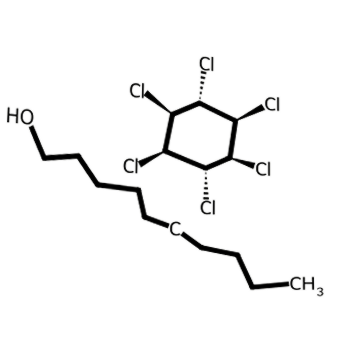 CCCCCCCCCCO.Cl[C@H]1[C@H](Cl)[C@@H](Cl)[C@@H](Cl)[C@H](Cl)[C@H]1Cl